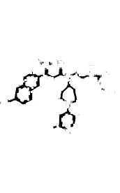 Cc1cc(N2CCC(N(CCNC(=O)OC(C)(C)C)C(=O)CC(c3ccc4cc(Cl)ccc4c3)=S(=O)=O)CC2)ccn1